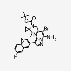 CCC1(N(Cc2nc3c(-c4cnc5ccc(F)cc5c4)cnn3c(N)c2Br)C(=O)OC(C)(C)C)CC1